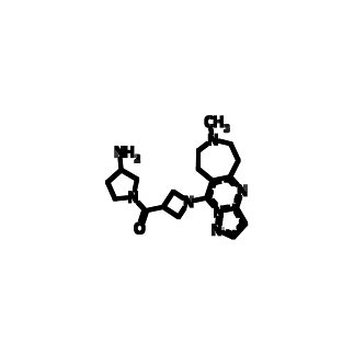 CN1CCc2nc3ccnn3c(N3CC(C(=O)N4CCC(N)C4)C3)c2CC1